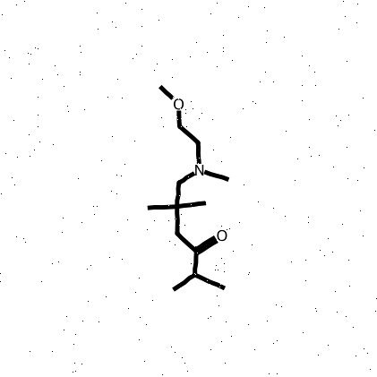 COCCN(C)CC(C)(C)CC(=O)C(C)C